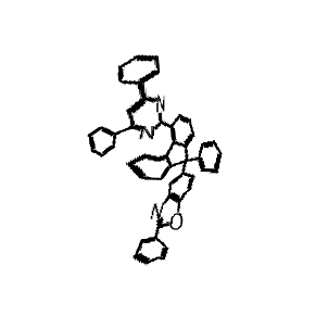 c1ccc(-c2cc(-c3ccccc3)nc(-c3cccc4c3-c3ccccc3C4(c3ccccc3)c3ccc4oc(-c5ccccc5)nc4c3)n2)cc1